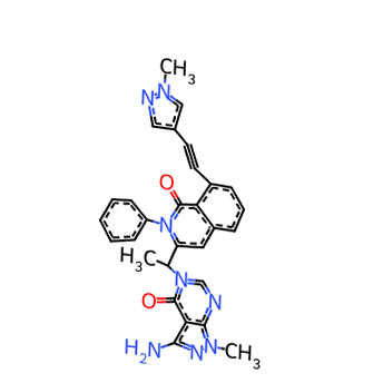 CC(c1cc2cccc(C#Cc3cnn(C)c3)c2c(=O)n1-c1ccccc1)n1cnc2c(c(N)nn2C)c1=O